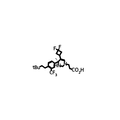 CC(C)(C)CCc1ccc([C@]2(C)NCN(CCC(=O)O)C=C2C2CC(F)(F)C2)cc1C(F)(F)F